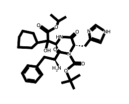 CC(C)OC(=O)C(O)(C1CCCCC1)[C@H](C)NC(=O)[C@H](Cc1c[nH]cn1)N(C(=O)OC(C)(C)C)C(=O)[C@@H](N)Cc1ccccc1